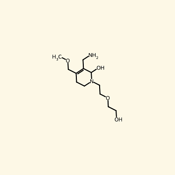 COCC1=C(CN)C(O)N(CCOCCO)CC1